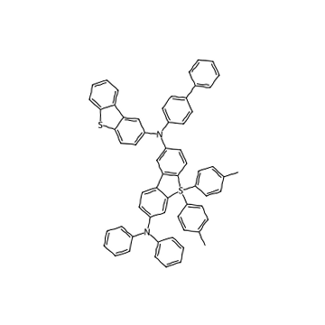 Cc1ccc(S2(c3ccc(C)cc3)c3ccc(N(c4ccc(-c5ccccc5)cc4)c4ccc5sc6ccccc6c5c4)cc3-c3ccc(N(c4ccccc4)c4ccccc4)cc32)cc1